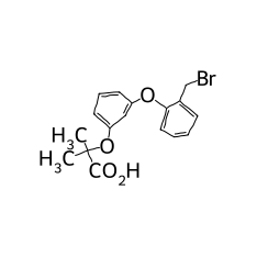 CC(C)(Oc1cccc(Oc2ccccc2CBr)c1)C(=O)O